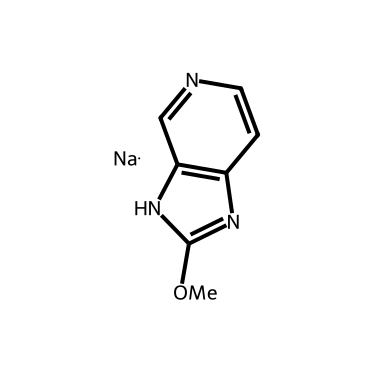 COc1nc2ccncc2[nH]1.[Na]